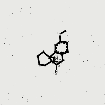 COc1ccc2c(c1)C13CCCC[C@@H]1[C@@H](C2)NCC3